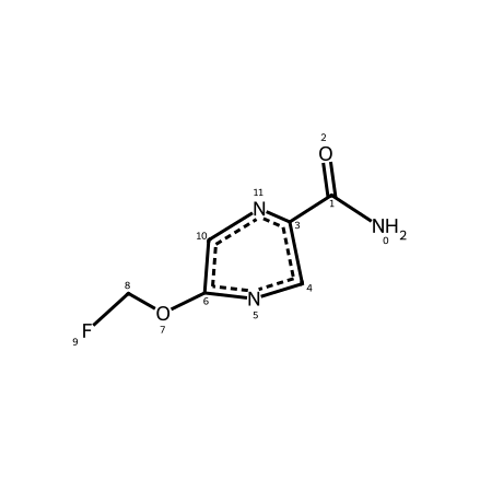 NC(=O)c1cnc(OCF)cn1